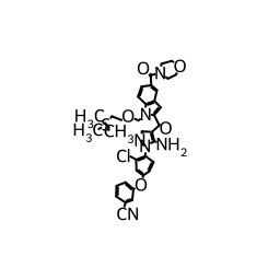 CS(C)(C)CCOCn1c(C(=O)c2cnn(-c3ccc(Oc4cccc(C#N)c4)cc3Cl)c2N)cc2cc(C(=O)N3CCOCC3)ccc21